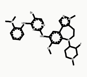 COc1cc2c(cc1Nc1ncc(Br)c(Nc3ccccc3P(C)C)n1)-c1cnn(C)c1CCN2C1CCN(C)CC1F